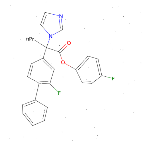 CCCC(C(=O)Oc1ccc(F)cc1)(c1ccc(-c2ccccc2)c(F)c1)n1ccnc1